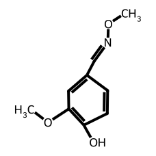 CON=Cc1ccc(O)c(OC)c1